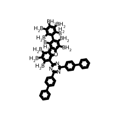 Bc1c(B)c(B)c(-c2c(B)c(B)c3oc4c(-c5nc(-c6ccc(-c7ccccc7)cc6)nc(-c6ccc(-c7ccccc7)cc6)n5)c(B)c(B)c(B)c4c3c2B)c(B)c1B